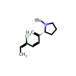 C=C(/C=C\C(Cl)=C/C)[C@H]1CCCN1C(C)(C)C